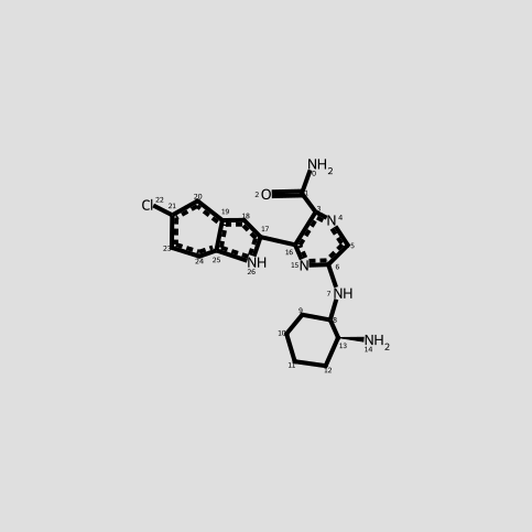 NC(=O)c1ncc(NC2CCCC[C@@H]2N)nc1-c1cc2cc(Cl)ccc2[nH]1